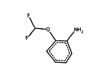 Nc1ccccc1OC(F)F